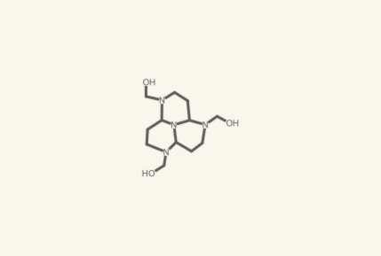 OCN1CCC2N(CO)CCC3N(CO)CCC1N23